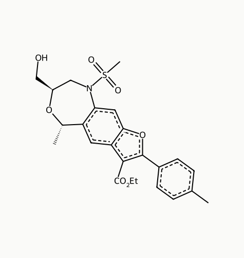 CCOC(=O)c1c(-c2ccc(C)cc2)oc2cc3c(cc12)[C@H](C)O[C@@H](CO)CN3S(C)(=O)=O